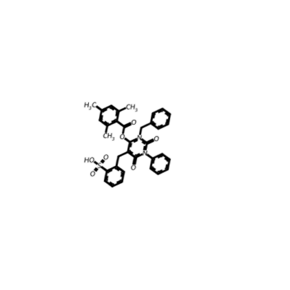 Cc1cc(C)c(C(=O)Oc2c(Cc3ccccc3S(=O)(=O)O)c(=O)n(-c3ccccc3)c(=O)n2Cc2ccccc2)c(C)c1